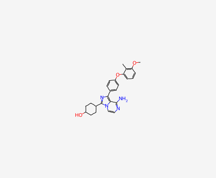 COc1cccc(Oc2ccc(-c3nc(C4CCC(O)CC4)n4ccnc(N)c34)cc2)c1C